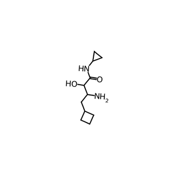 NC(CC1CCC1)C(O)C(=O)NC1CC1